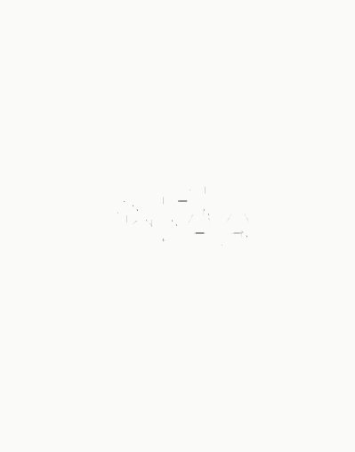 CCOc1ncccc1-c1ccc(N2C[C@H]3CN(C4(C(F)(F)F)CCC4)C(=O)N3C[C@H]2CC)c(C(=O)O)n1